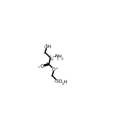 N[C@@H](CS)C(=O)OCS(=O)(=O)O